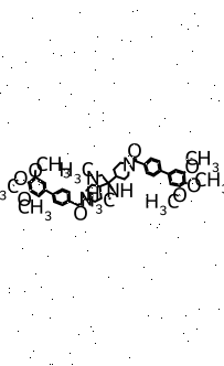 CNCC(NC)(C1CCN(C(=O)c2ccc(-c3cc(OC)c(OC)c(OC)c3)cc2)CC1)C1CCN(C(=O)c2ccc(-c3cc(OC)c(OC)c(OC)c3)cc2)CC1